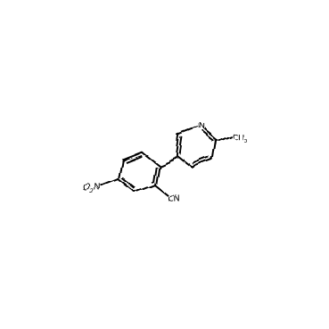 Cc1ccc(-c2ccc([N+](=O)[O-])cc2C#N)cn1